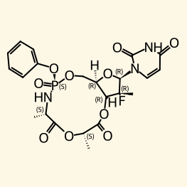 C[C@@H]1N[P@@](=O)(Oc2ccccc2)OC[C@H]2O[C@@H](n3ccc(=O)[nH]c3=O)[C@](C)(F)[C@@H]2OC(=O)[C@H](C)OC1=O